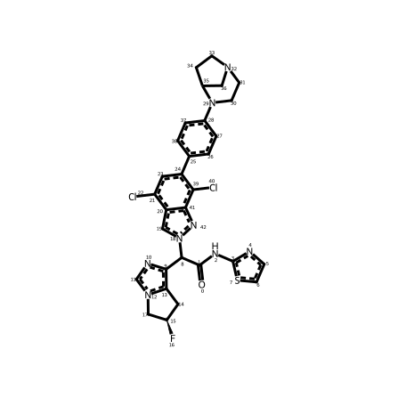 O=C(Nc1nccs1)C(c1ncn2c1C[C@@H](F)C2)n1cc2c(Cl)cc(-c3ccc(N4CCN5CCC4C5)cc3)c(Cl)c2n1